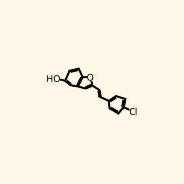 Oc1ccc2oc(C=Cc3ccc(Cl)cc3)cc2c1